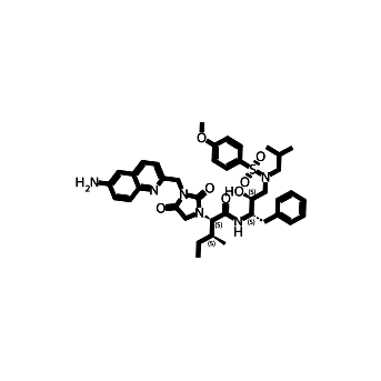 CC[C@H](C)[C@@H](C(=O)N[C@@H](Cc1ccccc1)[C@@H](O)CN(CC(C)C)S(=O)(=O)c1ccc(OC)cc1)N1CC(=O)N(Cc2ccc3cc(N)ccc3n2)C1=O